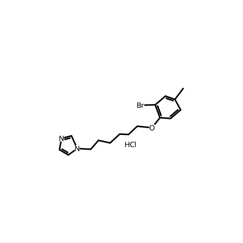 Cc1ccc(OCCCCCCn2ccnc2)c(Br)c1.Cl